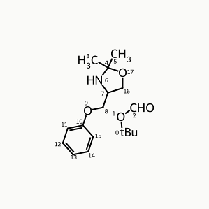 CC(C)(C)OC=O.CC1(C)NC(COc2ccccc2)CO1